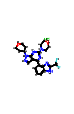 Cl.FC(F)c1nc2c(-c3nc(N4CCOCC4)nc4c3cnn4C3CCOCC3)cccc2[nH]1